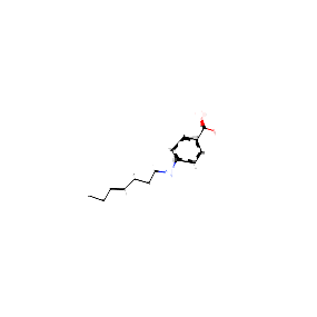 CCCCCCCNc1ccc(C(=O)O)cc1